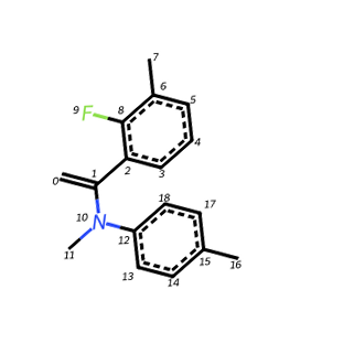 C=C(c1cccc(C)c1F)N(C)c1ccc(C)cc1